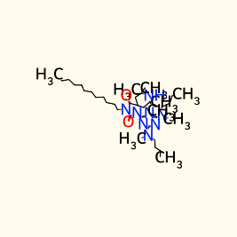 CCCCCCCCCCCCN1C(=O)N(c2nc(N(C)CCCC)nc(N(C)CCCC)n2)C2(CC(C)(C)NC(C)(C)C2)C1=O